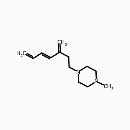 C=CC=CC(=C)CCN1CCN(C)CC1